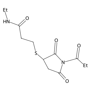 CCNC(=O)CCSC1CC(=O)N(C(=O)CC)C1=O